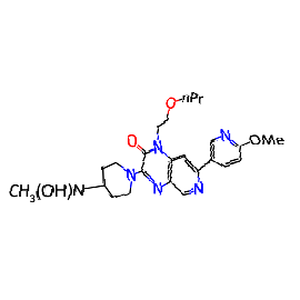 CCCOCCn1c(=O)c(N2CCC(N(C)O)CC2)nc2cnc(-c3ccc(OC)nc3)cc21